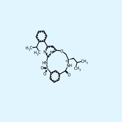 CC(C)C[C@@H]1COc2cc(-c3ccccc3C(C)C)nc(n2)NS(=O)(=O)c2cccc(c2)C(=O)N1